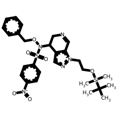 CC(C)(C)[Si](C)(C)OCCn1ncc2c1C=NCC2N(OCc1ccccc1)S(=O)(=O)c1ccc([N+](=O)[O-])cc1